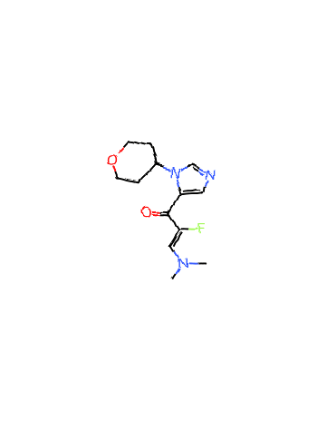 CN(C)C=C(F)C(=O)c1cncn1C1CCOCC1